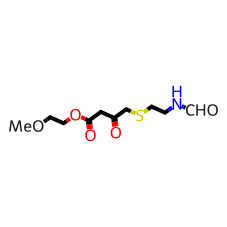 COCCOC(=O)CC(=O)CSCCNC=O